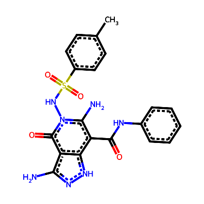 Cc1ccc(S(=O)(=O)Nn2c(N)c(C(=O)Nc3ccccc3)c3[nH]nc(N)c3c2=O)cc1